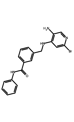 Nc1cnc(Br)cc1NCc1cccc(C(=O)Nc2ccccc2)c1